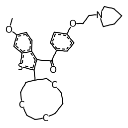 COc1ccc2c(C(=O)c3ccc(OCCN4CCCCC4)cc3)c(C3CCCCCCCCCCC3)sc2c1